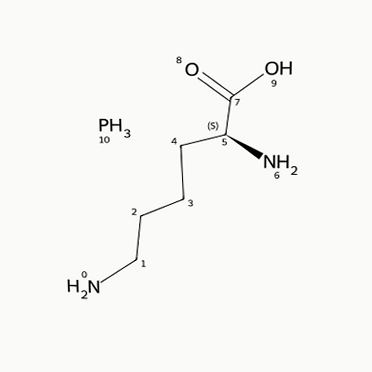 NCCCC[C@H](N)C(=O)O.P